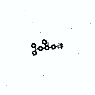 CC1(C)OB(c2ccc(-c3ccc(-c4ccc(N(c5ccccc5)c5ccccc5)cc4)c4c3sc3ccccc34)cc2)OC1(C)C